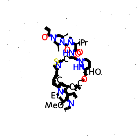 C=CC(=O)N1C[C@@H](C)N(C(=O)N(C)[C@H](C(=O)N[C@H]2Cc3nc(cs3)-c3ccc4c(c3)c(c(/C(C=C)=C(/N=C\C)[C@H](C)OC)n4CC)CC(C)(C)COC[C@@]3(C=O)CCCN(N3)C2=O)C(C)C)[C@@H](C)C1